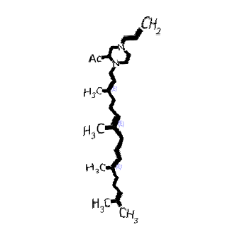 C=CCN1CCN(C/C=C(\C)CC/C=C(\C)CC/C=C(\C)CCC=C(C)C)C(C(C)=O)C1